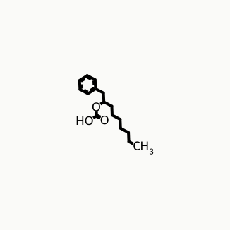 CCCCCCCC(Cc1ccccc1)OC(=O)O